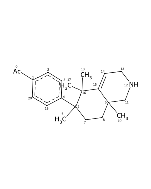 CC(=O)c1ccc(C2(C)CCC3(C)CNCC=C3C2(C)C)cc1